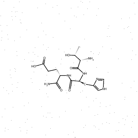 C[C@@H](O)[C@H](N)C(=O)N[C@@H](Cc1c[nH]cn1)C(=O)N[C@@H](CCC(=O)O)C(N)=O